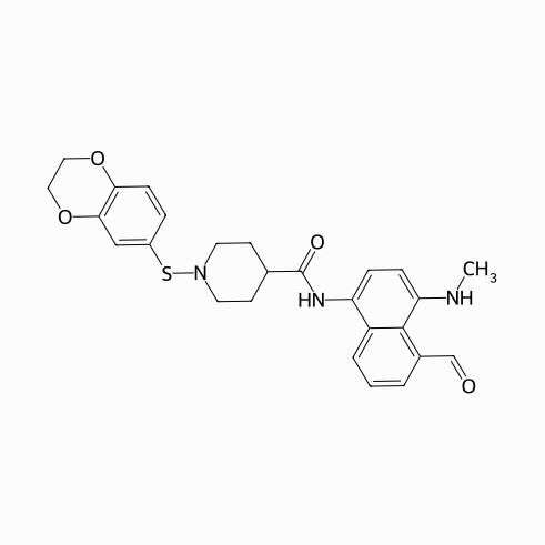 CNc1ccc(NC(=O)C2CCN(Sc3ccc4c(c3)OCCO4)CC2)c2cccc(C=O)c12